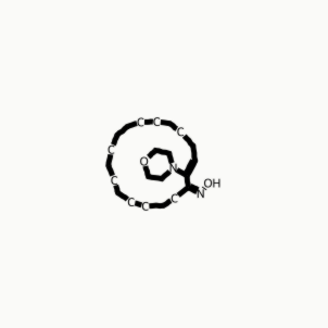 O/N=C1CCCCCCCCCCCCCCC/C=C/1N1CCOCC1